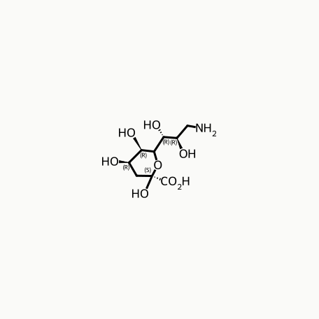 NC[C@@H](O)[C@@H](O)C1O[C@](O)(C(=O)O)C[C@@H](O)[C@H]1O